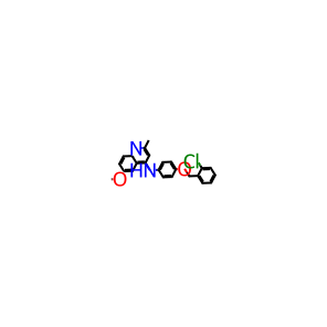 COc1ccc2nc(C)cc(Nc3ccc(OCc4ccccc4Cl)cc3)c2c1